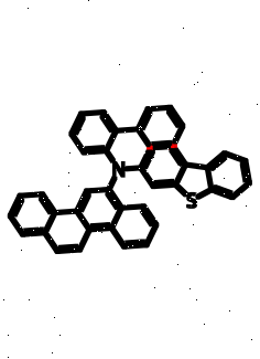 c1ccc(-c2ccccc2N(c2ccc3c(c2)sc2ccccc23)c2cc3c4ccccc4ccc3c3ccccc23)cc1